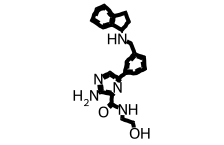 Nc1ncc(-c2cccc(CN[C@H]3CCc4ccccc43)c2)nc1C(=O)NCCO